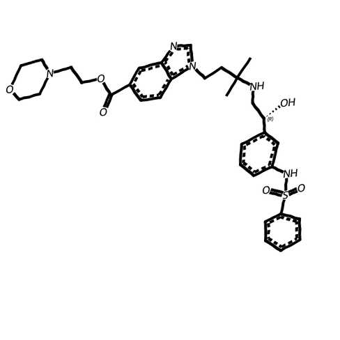 CC(C)(CCn1cnc2cc(C(=O)OCCN3CCOCC3)ccc21)NC[C@H](O)c1cccc(NS(=O)(=O)c2ccccc2)c1